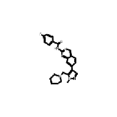 Cn1ncc(-c2ccc3cnc(NC(=O)c4ccc(F)cc4)nc3c2)c1CN1CCCCC1